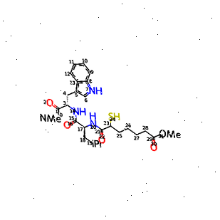 CNC(=O)[C@H](Cc1c[nH]c2ccccc12)NC(=O)[C@H](CC(C)C)NC(=O)C(S)CCCCC(=O)OC